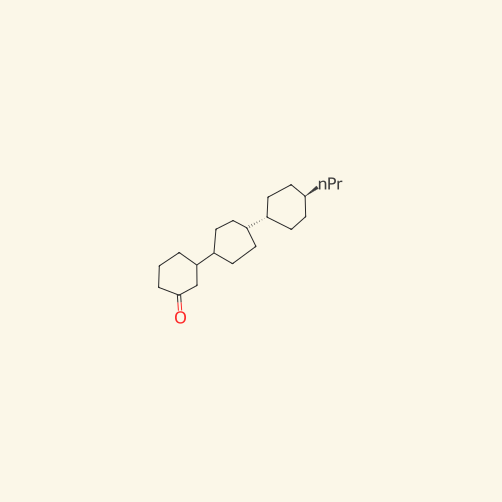 CCC[C@H]1CC[C@H](C2CCC(C3CCCC(=O)C3)CC2)CC1